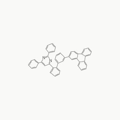 c1ccc(-c2cc(-c3ccccc3-c3cccc(-c4ccc5c6ccccc6c6ccccc6c5c4)c3)nc(-c3ccccc3)n2)cc1